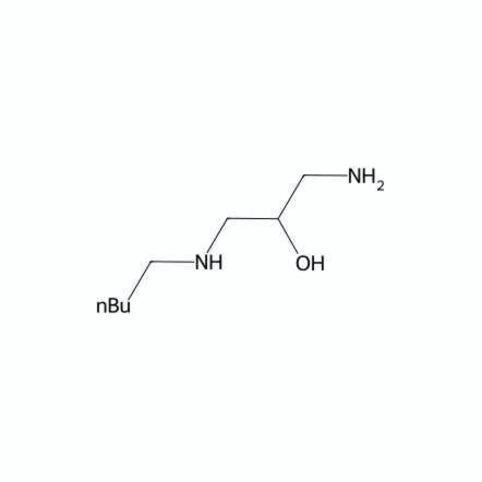 CCCCCNCC(O)CN